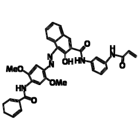 C=CC(=O)Nc1cccc(NC(=O)c2cc3ccccc3c(/N=N/c3cc(OC)c(NC(=O)C4=CCCC=C4)cc3OC)c2O)c1